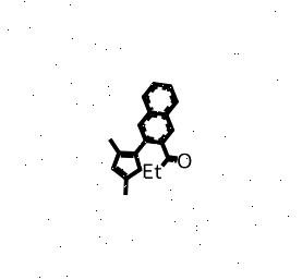 CCC(=O)c1cc2ccccc2cc1C1=C(C)C=C(C)C1